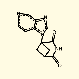 O=C1NC(=O)C2(n3cnc4cnccc43)CC1C2